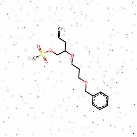 C=CCC(COS(C)(=O)=O)OCCCOCc1ccccc1